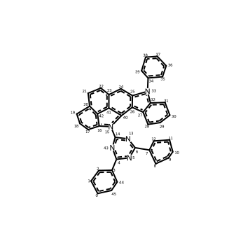 c1ccc(-c2nc(-c3ccccc3)nc(-n3c4cccc5ccc6cc7c(c8ccccc8n7-c7ccccc7)c3c6c54)n2)cc1